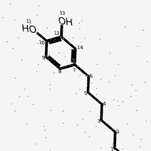 CCCCCCCCCCCCCCc1ccc(O)c(O)c1